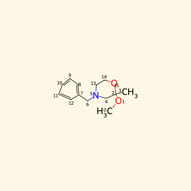 COC1(C)CN(Cc2ccccc2)CCO1